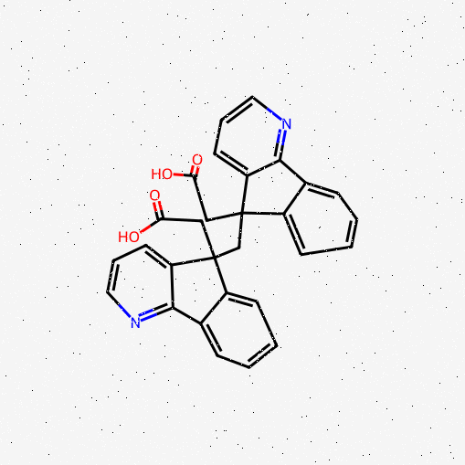 O=C(O)CC1(CC2(CC(=O)O)c3ccccc3-c3ncccc32)c2ccccc2-c2ncccc21